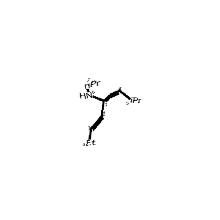 CC/C=C/C(=C\C(C)C)NCCC